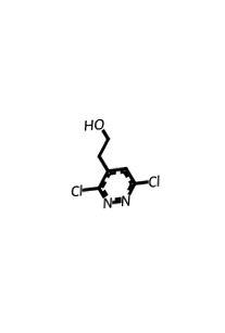 OCCc1cc(Cl)nnc1Cl